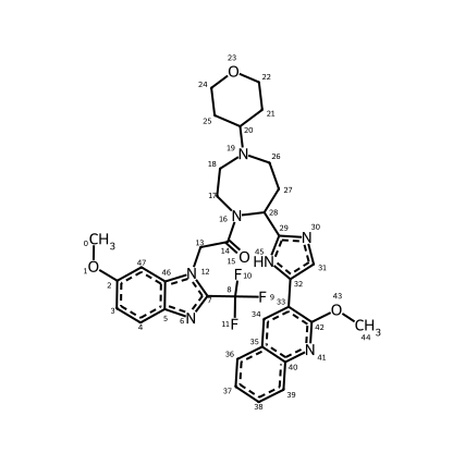 COc1ccc2nc(C(F)(F)F)n(CC(=O)N3CCN(C4CCOCC4)CCC3c3ncc(-c4cc5ccccc5nc4OC)[nH]3)c2c1